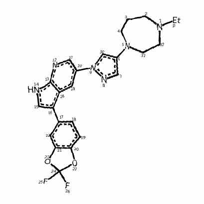 CCN1CCCN(c2cnn(-c3cnc4[nH]cc(-c5ccc6c(c5)OC(F)(F)O6)c4c3)c2)CC1